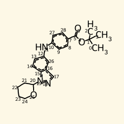 CC(C)(C)OC(=O)c1ccc(Nc2ccc3c(cnn3C3CCCCO3)c2)cc1